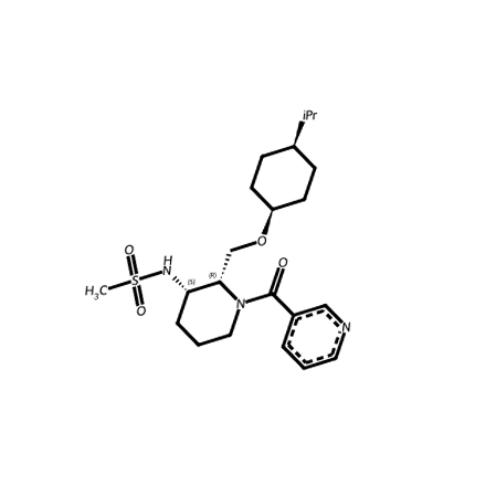 CC(C)[C@H]1CC[C@@H](OC[C@H]2[C@@H](NS(C)(=O)=O)CCCN2C(=O)c2cccnc2)CC1